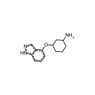 NC1CCCC(Oc2cccc3[nH]ncc23)C1